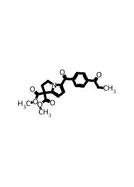 CCC(=O)c1ccc(C(=O)c2ccc3n2CCC3(C(=O)OC)C(=O)OC)cc1